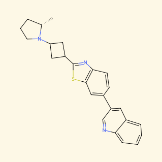 C[C@H]1CCCN1C1CC(c2nc3ccc(-c4cnc5ccccc5c4)cc3s2)C1